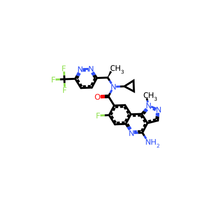 C[C@H](c1ccc(C(F)(F)F)nn1)N(C(=O)c1cc2c(cc1F)nc(N)c1cnn(C)c12)C1CC1